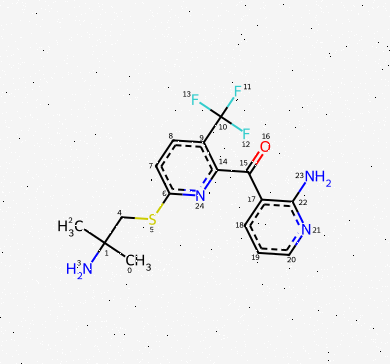 CC(C)(N)CSc1ccc(C(F)(F)F)c(C(=O)c2cccnc2N)n1